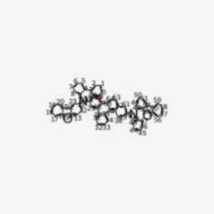 c1ccc(-c2ccccc2N(c2ccc3oc4ccccc4c3c2)c2ccc3c(c2)c2ccccc2c2c4ccc(N(c5ccccc5)c5cccc6c5oc5ccccc56)cc4ccc32)cc1